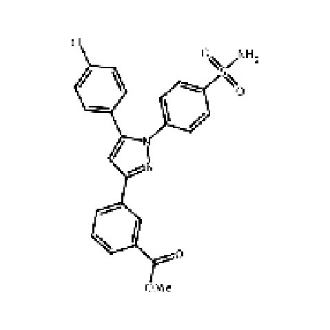 COC(=O)c1cccc(-c2cc(-c3ccc(Cl)cc3)n(-c3ccc(S(N)(=O)=O)cc3)n2)c1